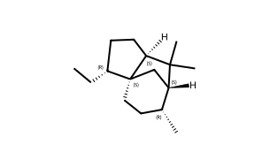 CC[C@@H]1CC[C@H]2C(C)(C)[C@H]3C[C@@]12CC[C@H]3C